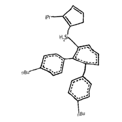 CCCCc1ccc(-c2cccc([SiH2]C3=C(C(C)C)C=CC3)c2-c2ccc(CCCC)cc2)cc1